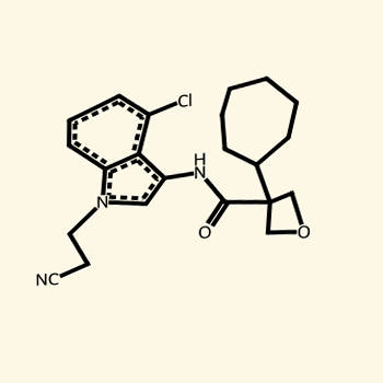 N#CCCn1cc(NC(=O)C2(C3CCCCCC3)COC2)c2c(Cl)cccc21